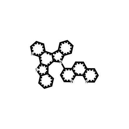 c1cnc2c(c1)ccc1c(-n3c4ccccc4c4c5cccnc5c5sc6ccccc6c5c43)ccnc12